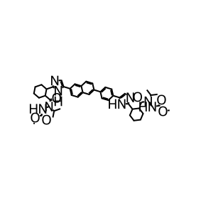 COC(=O)NN(C(=O)C1CCCCC1c1ncc(-c2ccc3cc(-c4ccc(-c5cnc(C6CCCC[C@@H]6C(=O)N(NC(=O)OC)C(C)C)[nH]5)cc4)ccc3c2)[nH]1)C(C)C